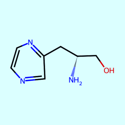 N[C@@H](CO)Cc1cnccn1